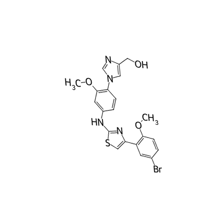 COc1ccc(Br)cc1-c1csc(Nc2ccc(-n3cnc(CO)c3)c(OC)c2)n1